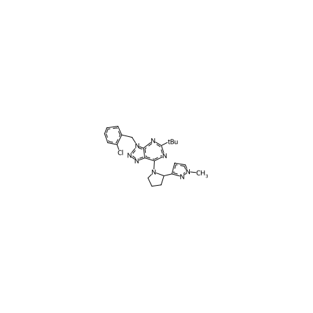 Cn1ccc(C2CCCN2c2nc(C(C)(C)C)nc3c2nnn3Cc2ccccc2Cl)n1